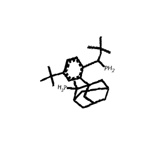 CC(C)(C)c1ccc(C(P)C(C)(C)C)c(C23CC4CC(CC(C4)C2(C)P)C3)c1